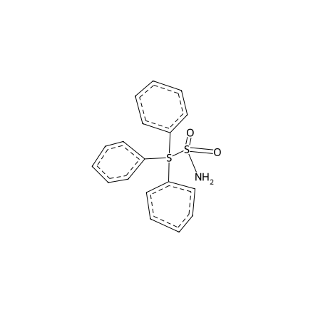 NS(=O)(=O)S(c1ccccc1)(c1ccccc1)c1ccccc1